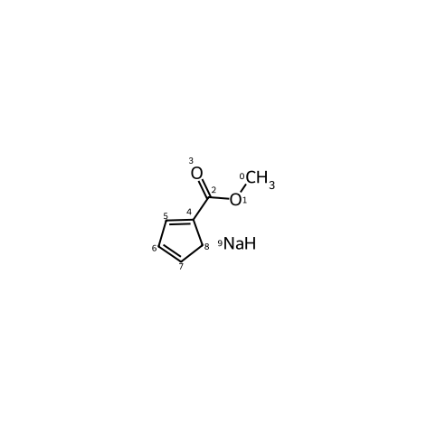 COC(=O)C1=CC=CC1.[NaH]